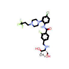 C[C@H](O)[C@@H](CO)NCc1ccc(C(=O)Nc2ccc(Cl)cc2N2CCN(CCC(F)(F)F)CC2)c(F)c1